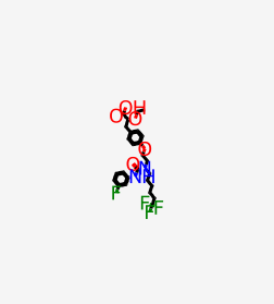 CCOC(Cc1ccc(OCCN(CCCCCC(F)(F)F)C(=O)Nc2cccc(F)c2)cc1)C(=O)O